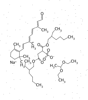 CC1=C(/C=C/C(C)=C/C=C/C(C)=C/C=O)C(C)(C)CCC1.CCCCC(CC)COC(=O)CC(C(=O)OCC(CC)CCCC)S(=O)(=O)[O-].CCOC(C)OCC.[Na+]